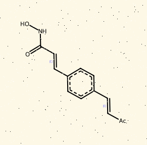 CC(=O)/C=C/c1ccc(/C=C/C(=O)NO)cc1